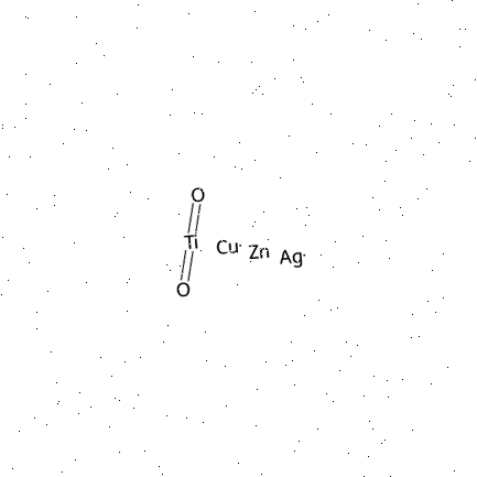 [Ag].[Cu].[O]=[Ti]=[O].[Zn]